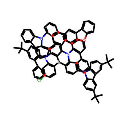 CC(C)(C)c1ccc(N2c3cc(Cl)ccc3B3c4ccc(-n5c6ccc(C(C)(C)C)cc6c6cc(C(C)(C)C)ccc65)cc4N(c4c(-c5ccccc5)cccc4-c4ccccc4)c4cc(-c5c(-c6ccc7oc8ccccc8c7c6)cccc5-n5c6ccccc6c6ccccc65)cc2c43)c(-c2ccccc2)c1